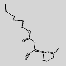 CCCOCCOC(=O)C/C(C#N)=C1\C=C(C)CCC1